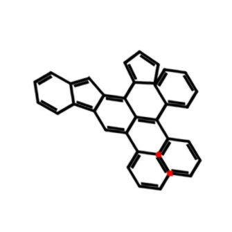 [C]1=c2ccccc2=c2cc(-c3ccccc3)c(=C(c3ccccc3)c3ccccc3)c(C3=CC=CC3)c21